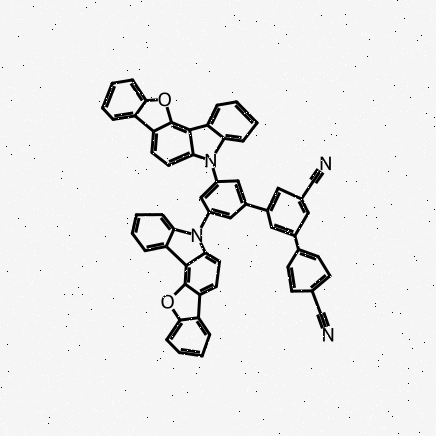 N#Cc1ccc(-c2cc(C#N)cc(-c3cc(-n4c5ccccc5c5c6oc7ccccc7c6ccc54)cc(-n4c5ccccc5c5c6oc7ccccc7c6ccc54)c3)c2)cc1